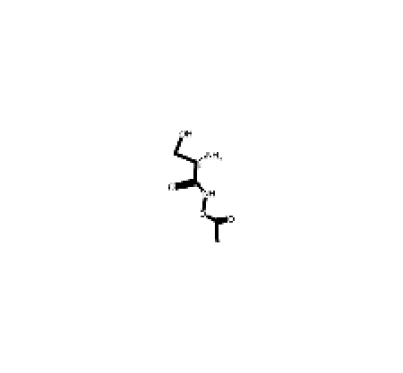 CC(=O)ONC(=O)[C@@H](N)CO